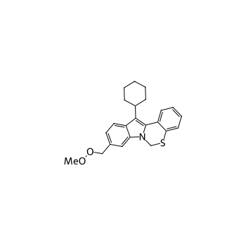 COOCc1ccc2c(C3CCCCC3)c3n(c2c1)CSc1ccccc1-3